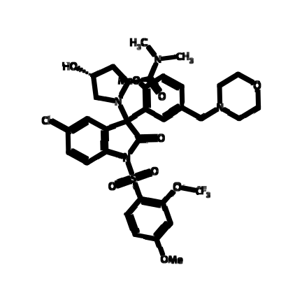 COc1ccc(S(=O)(=O)N2C(=O)C(c3cc(CN4CCOCC4)ccc3OC)(N3C[C@H](O)C[C@H]3C(=O)N(C)C)c3cc(Cl)ccc32)c(OC(F)(F)F)c1